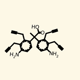 C#CCc1c(N)ccc(C(C)(C(=O)O)c2ccc(N)c(CC#C)c2CC#C)c1CC#C